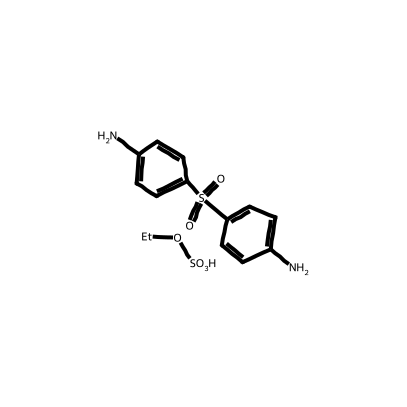 CCOS(=O)(=O)O.Nc1ccc(S(=O)(=O)c2ccc(N)cc2)cc1